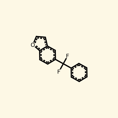 FC(F)(c1ccccc1)c1ccc2occc2c1